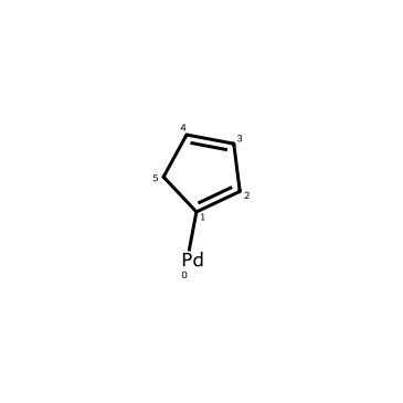 [Pd][C]1=CC=CC1